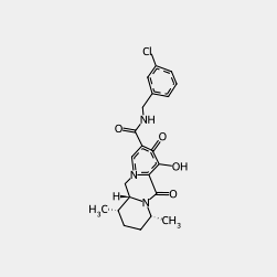 C[C@@H]1CC[C@H](C)[C@@H]2Cn3cc(C(=O)NCc4cccc(Cl)c4)c(=O)c(O)c3C(=O)N12